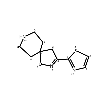 c1csc(C2=NOC3(CCNCC3)C2)n1